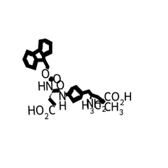 CC(C)(C[C@@H](N)Cc1ccc(NC(=O)[C@H](CCC(=O)O)NC(=O)OCC2c3ccccc3-c3ccccc32)cc1)C(=O)O